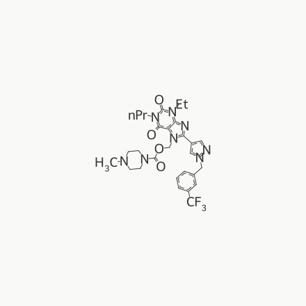 CCCn1c(=O)c2c(nc(-c3cnn(Cc4cccc(C(F)(F)F)c4)c3)n2COC(=O)N2CCN(C)CC2)n(CC)c1=O